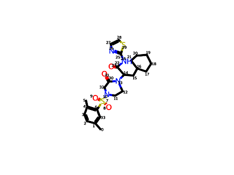 Cc1ccc(C)c(S(=O)(=O)N2CCN(C(CC3CCCCC3)C(=O)Nc3nccs3)C(=O)C2)c1